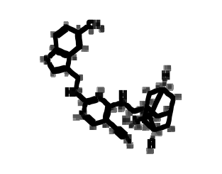 Cc1ccc2scc(CNc3ncc(C#N)c(NC[C@]45CC6C[C@H](C4)[C@@H](N)[C@@H](C6)C5)n3)c2c1